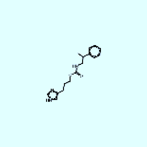 CC(CNC(=O)OCCCc1c[nH]cn1)c1ccccc1